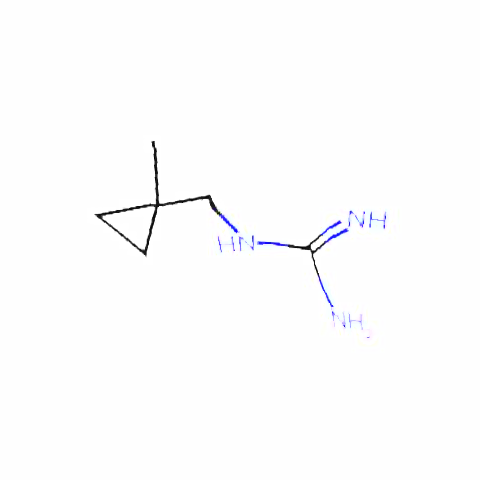 CC1(CNC(=N)N)CC1